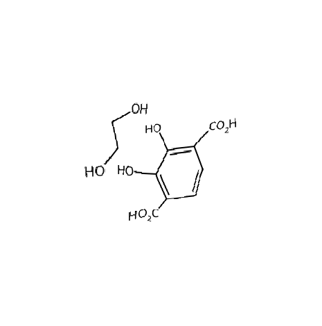 O=C(O)c1ccc(C(=O)O)c(O)c1O.OCCO